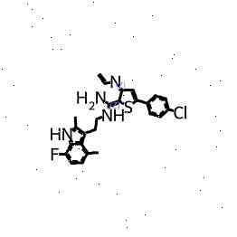 C=C/N=C1/C=C(c2ccc(Cl)cc2)S/C1=C(/N)NCCc1c(C)[nH]c2c(F)ccc(C)c12